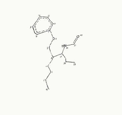 CCCCC(COc1ccccc1)C(CC)NC=O